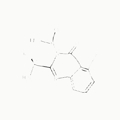 C[C@H](N)c1nc2cccc(F)c2c(=O)n1N(C)C